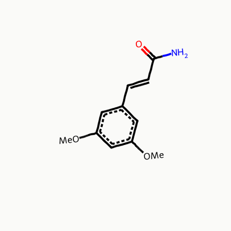 COc1cc(C=CC(N)=O)cc(OC)c1